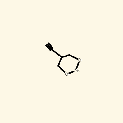 C#CC1COPOC1